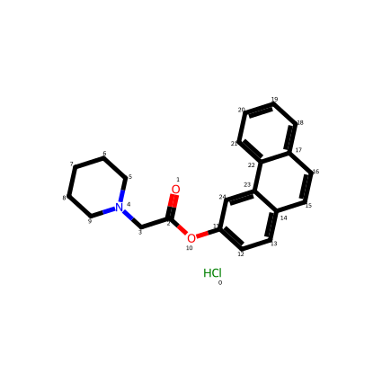 Cl.O=C(CN1CCCCC1)Oc1ccc2ccc3ccccc3c2c1